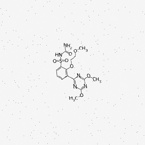 COCCOc1c(-c2nc(OC)nc(OC)n2)cccc1S(=O)(=O)NC(N)=O